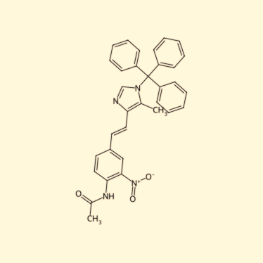 CC(=O)Nc1ccc(C=Cc2ncn(C(c3ccccc3)(c3ccccc3)c3ccccc3)c2C)cc1[N+](=O)[O-]